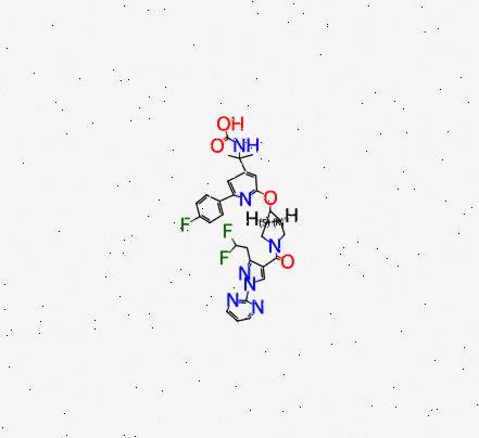 CC(C)(NC(=O)O)c1cc(OC2[C@H]3CN(C(=O)c4cn(-c5ncccn5)nc4CC(F)F)C[C@@H]23)nc(-c2ccc(F)cc2)c1